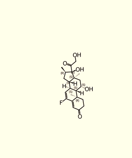 C[C@@H]1C[C@H]2[C@@H]3C=C(F)C4=CC(=O)CC[C@]4(C)[C@H]3[C@@H](O)C[C@]2(C)[C@@]1(O)C(=O)CO